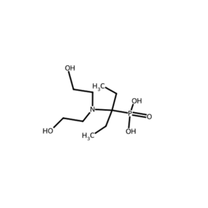 CCC(CC)(N(CCO)CCO)P(=O)(O)O